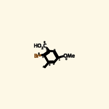 COc1cc(C)c(Br)c(C(=O)O)c1